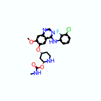 CNC(=O)O[C@@H]1C[C@H](Oc2cc3c(Nc4cccc(Cl)c4F)ncnc3cc2OC)CCN1